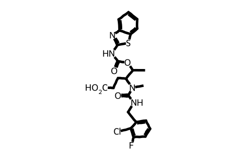 CC(OC(=O)Nc1nc2ccccc2s1)C(CCC(=O)O)N(C)C(=O)NCc1cccc(F)c1Cl